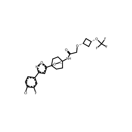 O=C(CO[C@H]1C[C@@H](OC(F)(F)F)C1)NC12CCC(c3cc(-c4ccc(Cl)c(F)c4)no3)(CC1)OC2